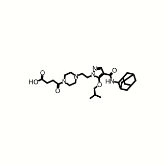 CC(C)COc1c(C(=O)NC2C3CC4CC(C3)CC2C4)cnn1CCN1CCN(C(=O)CCC(=O)O)CC1